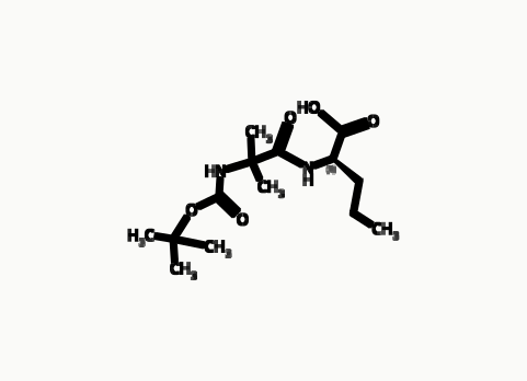 CCC[C@@H](NC(=O)C(C)(C)NC(=O)OC(C)(C)C)C(=O)O